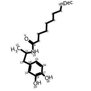 CCCCCCCCCCCCCCCCCC(=O)NC(C)Cc1ccc(O)c(O)c1